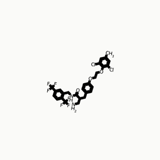 Cc1cc(Cl)c(OCCOc2ccc(CC(CN)C(=O)NCc3cc(C(F)(F)F)ccc3C(F)(F)F)cc2)c(Cl)c1